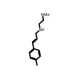 CNCCNC/C=C/c1ccc(C)cc1